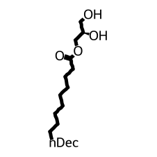 CCCCCCCCCCCCCCCCCCC(=O)OC[C@H](O)CO